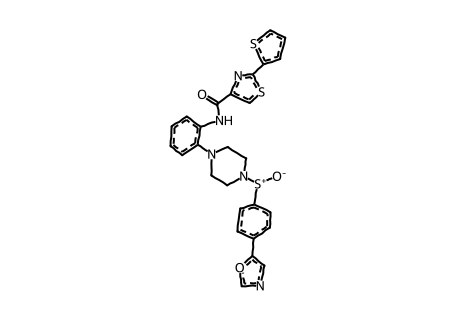 O=C(Nc1ccccc1N1CCN([S+]([O-])c2ccc(-c3cnco3)cc2)CC1)c1csc(-c2cccs2)n1